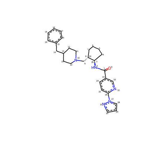 O=C(N[C@@H]1CCCC[C@H]1CN1CCC(Cc2ccccc2)CC1)c1ccc(-n2cccn2)nc1